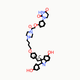 CC1(Cc2ccc(OCCCCN3CCN(C(=O)COc4cccc(N5CCC(=O)NC5=O)c4)CC3)cc2)C(c2ccc(O)cc2)=Nc2ccc(O)cc21